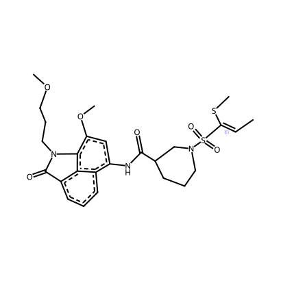 C/C=C(\SC)S(=O)(=O)N1CCCC(C(=O)Nc2cc(OC)c3c4c(cccc24)C(=O)N3CCCOC)C1